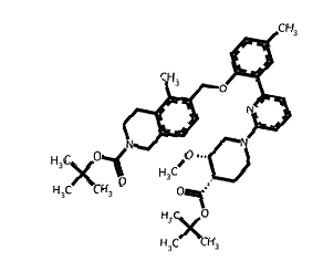 CO[C@@H]1CN(c2cccc(-c3cc(C)ccc3OCc3ccc4c(c3C)CCN(C(=O)OC(C)(C)C)C4)n2)CC[C@@H]1C(=O)OC(C)(C)C